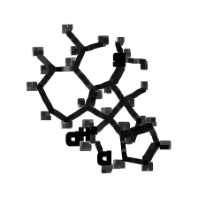 CCC1(C)C(=[Si](C)C)C2=C(CCCC(C)C2C(C)C)[C]1(C1=CC=CC1)[Hf]([Cl])[Cl]